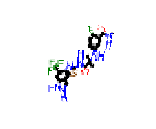 CNC(=O)c1cc(NC(C)(C)C(=O)Nc2nc3c(C(F)(F)F)cc4c(c3s2)CNN4)ccc1F